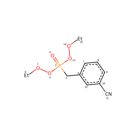 CCOOP(=O)(Cc1cccc(C#N)c1)OOCC